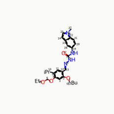 CCCCOc1cc(OCOCC)c(C(C)C)cc1/C=N/NC(=O)Nc1ccc2c(ccn2C)c1